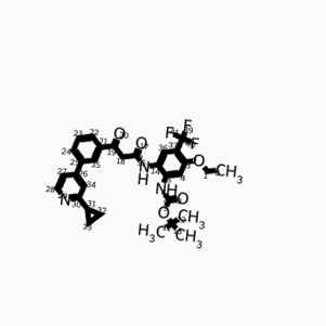 CCOc1cc(NC(=O)OC(C)(C)C)c(NC(=O)CC(=O)c2cccc(-c3ccnc(C4CC4)c3)c2)cc1C(F)(F)F